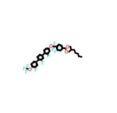 CCCCCC1COC(c2ccc(C(F)(F)Oc3ccc(-c4ccc(-c5ccc(OC(F)(F)F)c(F)c5)c(F)c4)c(F)c3)c(F)c2)OC1